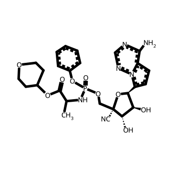 CC(NP(=O)(OC[C@@]1(C#N)O[C@@H](c2ccc3c(N)ncnn23)[C@@H](O)[C@@H]1O)Oc1ccccc1)C(=O)OC1CCOCC1